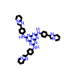 C1=CC2=NC(c3ccc(NC4=NC5=NC(Nc6ccc(-c7cn8ccccc8n7)cc6)=NC6=NC(Nc7ccc(C8CN9C=CC=CC9=N8)cc7)=NC(=N4)N56)cc3)CN2C=C1